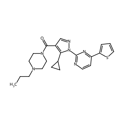 CCCN1CCN(C(=O)c2cnn(-c3nccc(-c4cccs4)n3)c2C2CC2)CC1